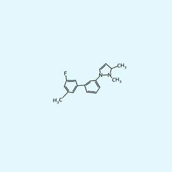 Cc1cc(F)cc(-c2cccc(N3C=CC(C)N3C)c2)c1